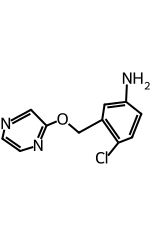 Nc1ccc(Cl)c(COc2cnccn2)c1